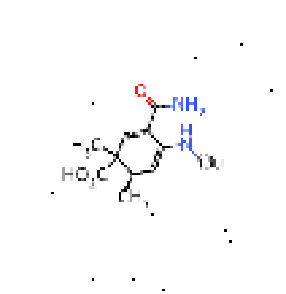 CCC(C)NC1=C[C@@H](C)C(C)(C(=O)O)C=C1C(N)=O